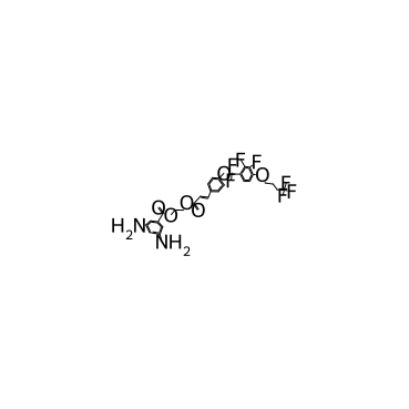 Nc1cc(N)cc(C(=O)OCCOC(=O)C=Cc2ccc(OC(F)(F)c3ccc(OCCCC(F)(F)F)c(F)c3F)cc2)c1